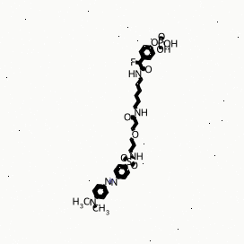 CN(C)c1ccc(/N=N/c2ccc(S(=O)(=O)NCCCOCCC(=O)NCCCCCCNC(=O)C(F)c3ccc(OP(=O)(O)O)cc3)cc2)cc1